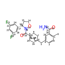 Cc1ccc(CC23CCC(C(=O)N4OCC[C@H]4c4cc(F)cc(F)c4)(CC2)CC3)cc1C(N)=O